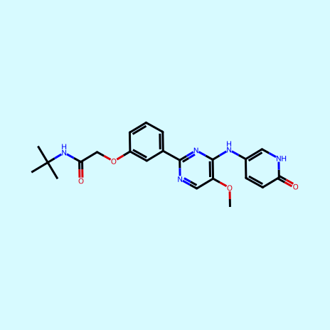 COc1cnc(-c2cccc(OCC(=O)NC(C)(C)C)c2)nc1Nc1ccc(=O)[nH]c1